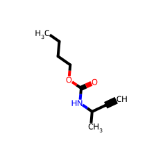 C#CC(C)NC(=O)OCCCC